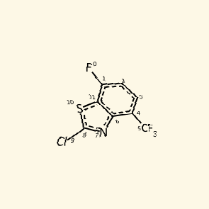 Fc1ccc(C(F)(F)F)c2nc(Cl)sc12